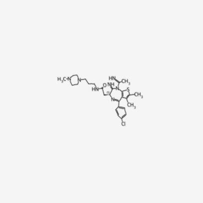 CC(=N)N1C(=N)[C@H](CC(=O)NCCCN2CCN(C)CC2)N=C(c2ccc(Cl)cc2)c2c1sc(C)c2C